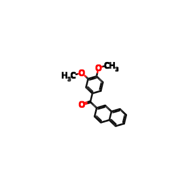 COc1ccc(C(=O)c2ccc3ccccc3c2)cc1OC